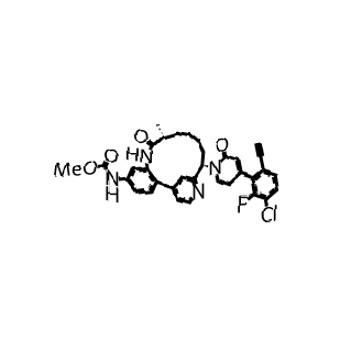 C#Cc1ccc(Cl)c(F)c1C1=CC(=O)N([C@H]2CCCC[C@@H](C)C(=O)Nc3cc(NC(=O)OC)ccc3-c3ccnc2c3)CC1